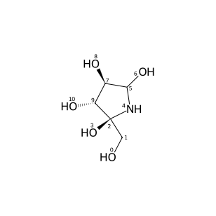 OC[C@@]1(O)NC(O)[C@H](O)[C@H]1O